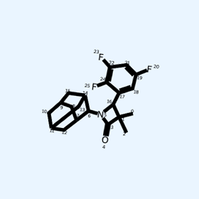 CC1(C)C(=O)N(C2C3CC4CC(C3)CC2C4)C1c1cc(F)cc(F)c1F